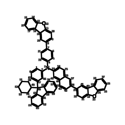 c1cc(N(c2ccc(-c3ccc4oc5ccccc5c4c3)cc2)c2ccc3cc(-c4ccc5oc6ccccc6c5c4)ccc3c2)cc(C2(C3CCCCC3)c3ccccc3-c3ccccc32)c1